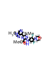 CNc1nc(Nc2cc(F)c(N3CCOCC3)c(F)c2)c(C(=O)OC)nc1-c1cncc2c1ncn2C